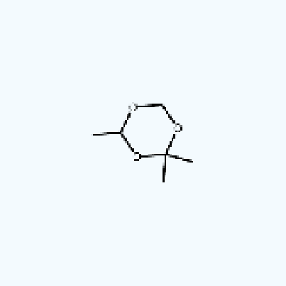 CC1OCOC(C)(C)O1